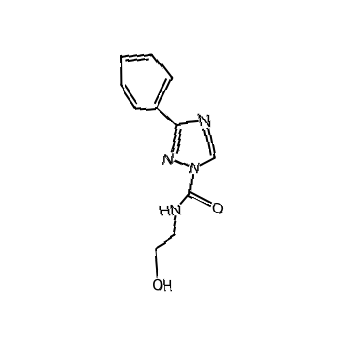 O=C(NCCO)n1cnc(-c2ccccc2)n1